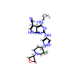 CCNc1nc(Nc2cnn([C@H]3CCN(C4COC4)C[C@@H]3F)c2)nc2[nH]cc(C#N)c12